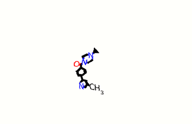 Cc1cncc(-c2ccc(C(=O)N3CCN(C4CC4)CC3)cc2)c1